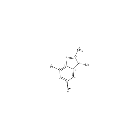 [Li][CH]1C(C)=Cc2c(C(C)C)cc(C(C)C)cc21